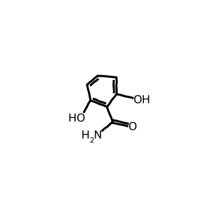 NC(=O)c1c(O)cccc1O